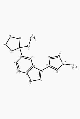 COC1(c2cnc3[nH]cc(-c4cnn(C)c4)c3c2)CCCC1